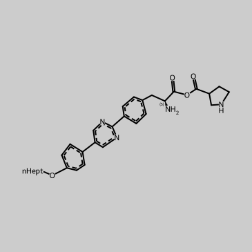 CCCCCCCOc1ccc(-c2cnc(-c3ccc(C[C@H](N)C(=O)OC(=O)C4CCNC4)cc3)nc2)cc1